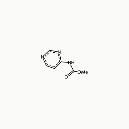 COC(=O)Nc1ccncn1